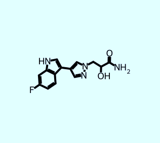 NC(=O)C(O)Cn1cc(-c2c[nH]c3cc(F)ccc23)cn1